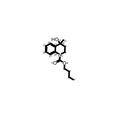 CCCCOC(=O)N1CCC(C)(O)c2ccccc21